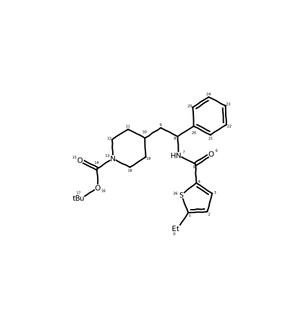 CCc1ccc(C(=O)NC(CC2CCN(C(=O)OC(C)(C)C)CC2)c2ccccc2)s1